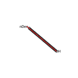 CCCCCCCCCCCCCCCCCCOCCOCCOCCOCCOCCOCCOCCOCCOCCOCCOCCOCCOCCOCCOCCOCCOCCOCCOCCOCCOCCOCCOCCOCCOCCOCCOCCOCCOCCOCCOCCOCCOCCOCCOCCOCCOCCOCCOCCOCCO